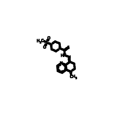 CN1CC/C(=N/NC(=S)N2CCN(S(C)(=O)=O)CC2)c2ncccc21